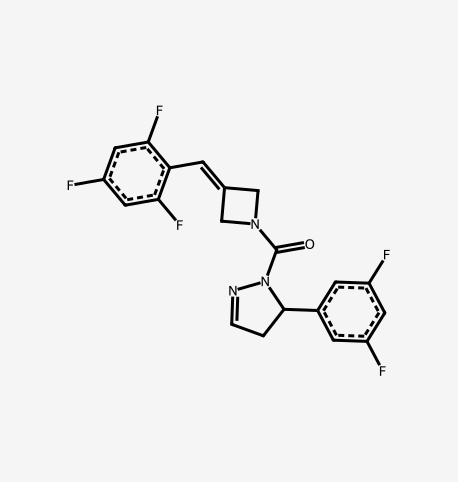 O=C(N1CC(=Cc2c(F)cc(F)cc2F)C1)N1N=CCC1c1cc(F)cc(F)c1